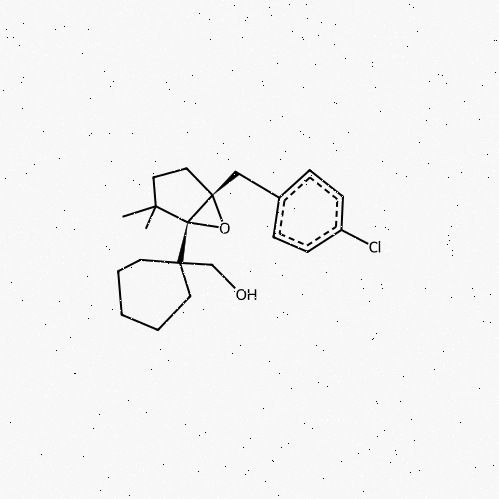 CC1(C)CC[C@]2(Cc3ccc(Cl)cc3)O[C@]12C1(CO)CCCCC1